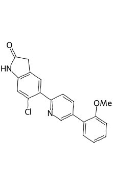 COc1ccccc1-c1ccc(-c2cc3c(cc2Cl)NC(=O)C3)nc1